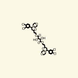 O=C(C=COC(=O)C(O)C(O)C(=O)OC=CC(=O)CC(c1ccc(Cl)c(Cl)c1)N1CCOCC1)CC(c1ccc(Cl)c(Cl)c1)N1CCOCC1